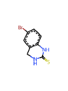 S=C1NCc2cc(Br)ccc2N1